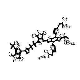 CCCCC(CC)Cc1ccc(-c2c3cc(-c4sc(C(C)(C)C(C)(C)c5ccc(-c6sc(C(C)(C)C(C)(C)C)c7c6C(=O)N(C)C7=O)s5)c5c4C(=O)N(C)C5=O)sc3c(-c3ccc(CC(CC)CCCC)s3)c3sc(C(C)(C)C(C)(C)C)cc23)s1